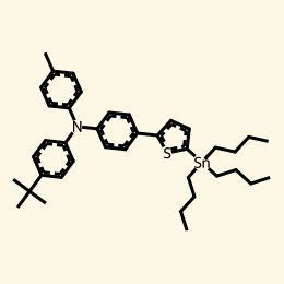 CCC[CH2][Sn]([CH2]CCC)([CH2]CCC)[c]1ccc(-c2ccc(N(c3ccc(C)cc3)c3ccc(C(C)(C)C)cc3)cc2)s1